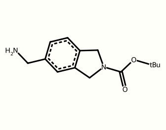 CC(C)(C)OC(=O)N1Cc2ccc(CN)cc2C1